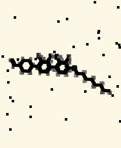 C=CC1CCC(c2ccc(-c3ccc(OCCCCCCCC)c(F)c3F)c(F)c2F)CC1